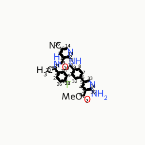 COC(=O)c1cc(-c2ccc(CNc3ncc(C#N)cc3C(=O)N[C@@H](C)c3ccc(F)cc3)cc2)cnc1N